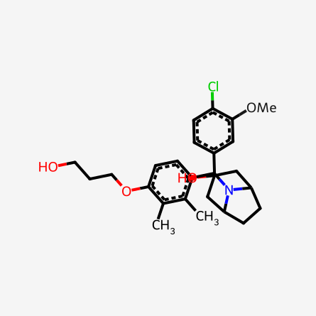 COc1cc(C2(O)CC3CCC(C2)N3Cc2ccc(OCCCO)c(C)c2C)ccc1Cl